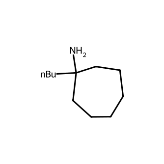 CCCCC1(N)CCCCCC1